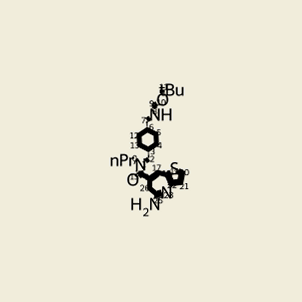 CCCN(C[C@H]1CC[C@@H](CNCOC(C)(C)C)CC1)C(=O)C1=Cc2sccc2N=C(N)C1